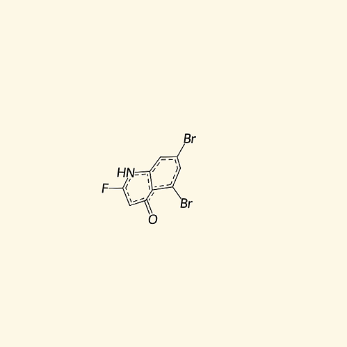 O=c1cc(F)[nH]c2cc(Br)cc(Br)c12